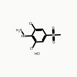 CS(=O)(=O)c1cc(Cl)c(NN)c(Cl)c1.Cl